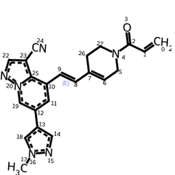 C=CC(=O)N1CC=C(/C=C/c2cc(-c3cnn(C)c3)cn3ncc(C#N)c23)CC1